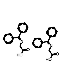 O=C(O)CN=C(c1ccccc1)c1ccccc1.O=C(O)CN=C(c1ccccc1)c1ccccc1